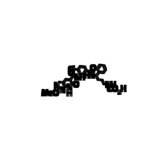 COc1ncc2cc(C(=O)Nc3cc(C(=O)NC(CCCNC(=O)O)c4ccccc4)ccc3Cl)c(=O)[nH]c2n1